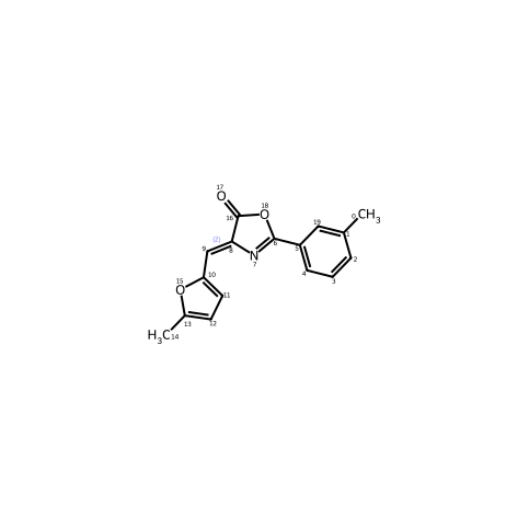 Cc1cccc(C2=N/C(=C\c3ccc(C)o3)C(=O)O2)c1